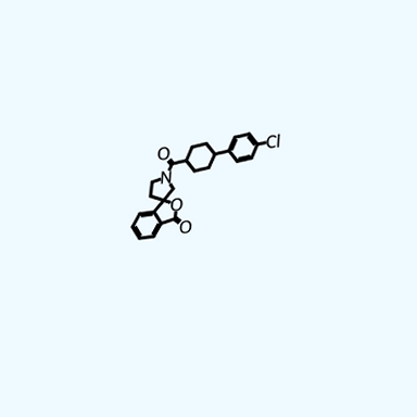 O=C1OC2(CCN(C(=O)C3CCC(c4ccc(Cl)cc4)CC3)C2)c2ccccc21